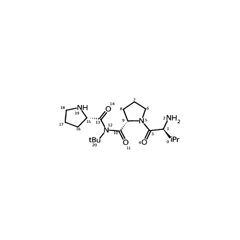 CC(C)[C@H](N)C(=O)N1CCC[C@H]1C(=O)N(C(=O)[C@@H]1CCCN1)C(C)(C)C